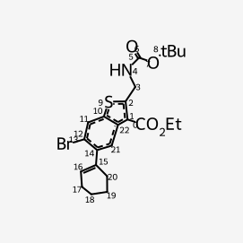 CCOC(=O)c1c(CNC(=O)OC(C)(C)C)sc2cc(Br)c(C3=CCCCC3)cc12